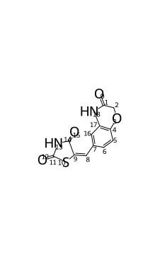 O=C1COc2ccc(C=C3SC(=O)NC3=O)cc2N1